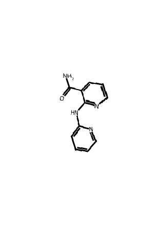 NC(=O)c1cccnc1Nc1ccccn1